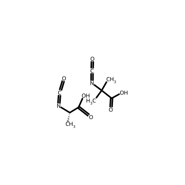 CC(C)(N=C=O)C(=O)O.C[C@H](N=C=O)C(=O)O